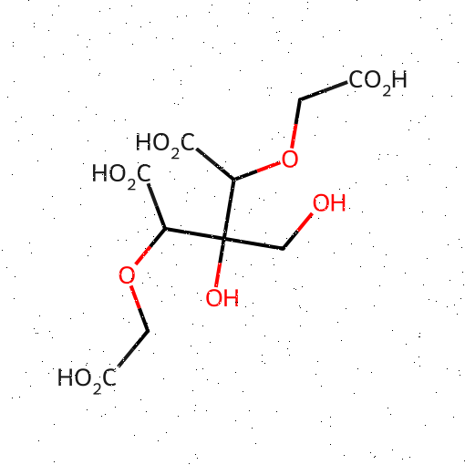 O=C(O)COC(C(=O)O)C(O)(CO)C(OCC(=O)O)C(=O)O